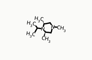 CC(C)N1[C@H](C)CN(C)C[C@H]1C